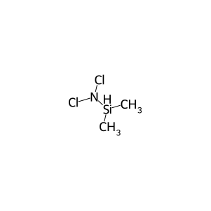 C[SiH](C)N(Cl)Cl